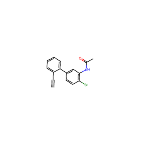 C#Cc1ccccc1-c1ccc(Br)c(NC(C)=O)c1